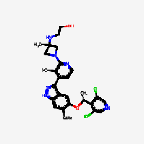 COc1cc2[nH]nc(-c3ccnc(N4CC(C)(NCCO)C4)c3C#N)c2cc1O[C@H](C)c1c(Cl)cncc1Cl